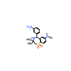 CCCCC1(CCCC)CS(=O)(=O)c2ccc(N(C)CC)cc2C(c2cccc(N)c2)N1